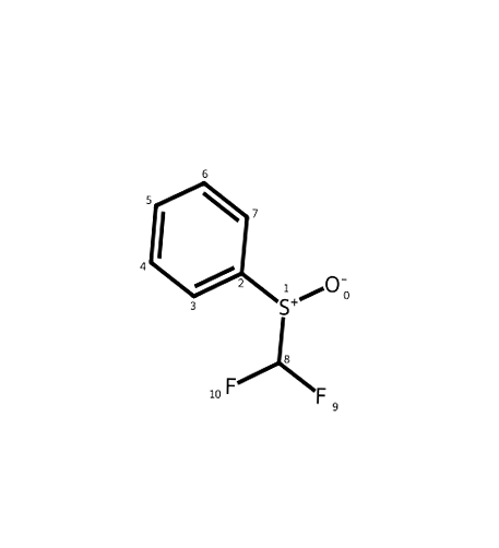 [O-][S+](c1ccccc1)C(F)F